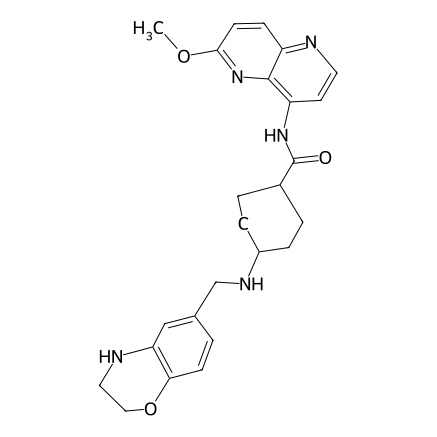 COc1ccc2nccc(NC(=O)C3CCC(NCc4ccc5c(c4)NCCO5)CC3)c2n1